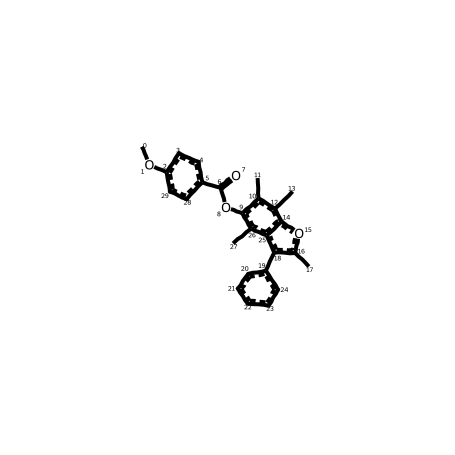 COc1ccc(C(=O)Oc2c(C)c(C)c3oc(C)c(-c4ccccc4)c3c2C)cc1